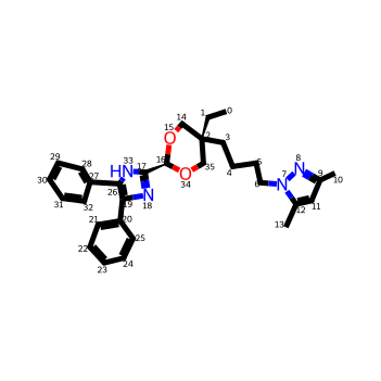 CC[C@]1(CCCCn2nc(C)cc2C)CO[C@H](c2nc(-c3ccccc3)c(-c3ccccc3)[nH]2)OC1